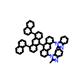 Cc1nc2ccccc2n1-c1cccc2c(-c3c4cccc(-c5cccc6ccccc56)c4cc4c(-c5cccc6ccccc56)cccc34)c3cccc(-n4c(C)nc5ccccc54)c3cc12